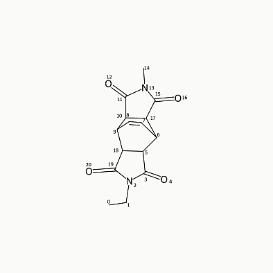 CCN1C(=O)C2C3C=CC(C4C(=O)N(C)C(=O)C34)C2C1=O